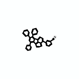 N#Cc1cccc(-c2ccc3c4c(cccc24)-c2c(-c4ccccc4)cc(-c4ccccc4)c(-c4ccccc4)c2-3)c1